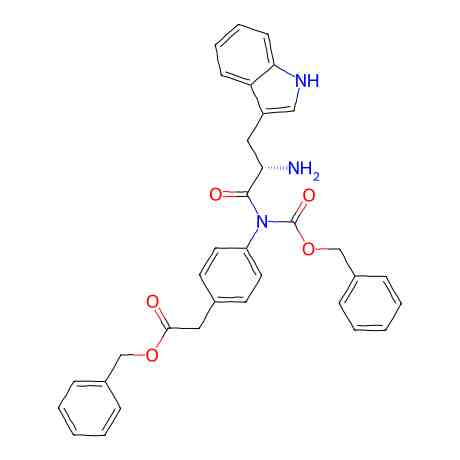 N[C@@H](Cc1c[nH]c2ccccc12)C(=O)N(C(=O)OCc1ccccc1)c1ccc(CC(=O)OCc2ccccc2)cc1